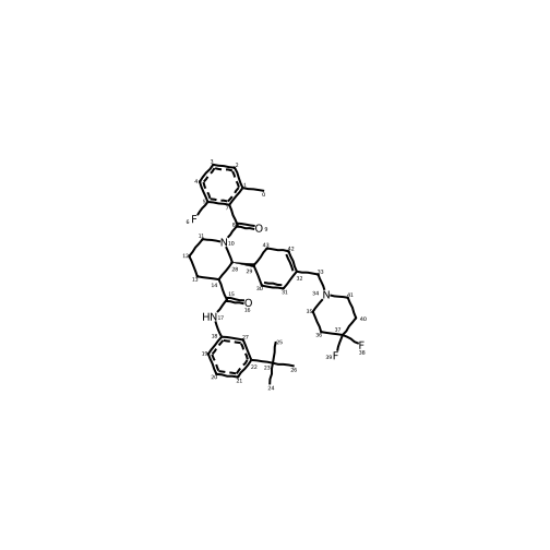 Cc1cccc(F)c1C(=O)N1CCCC(C(=O)Nc2cccc(C(C)(C)C)c2)[C@@H]1C1C=CC(CN2CCC(F)(F)CC2)=CC1